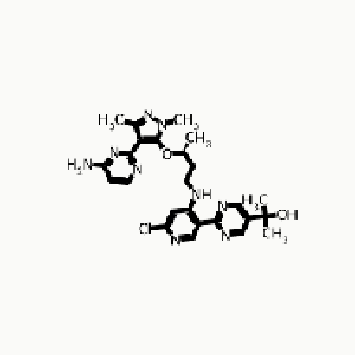 Cc1nn(C)c(O[C@@H](C)CCNc2cc(Cl)ncc2-c2ncc(C(C)(C)O)cn2)c1-c1nccc(N)n1